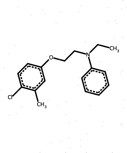 CCN(CCOc1ccc(Cl)c(C)c1)c1ccccc1